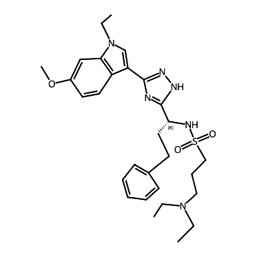 CCN(CC)CCCS(=O)(=O)N[C@H](CCc1ccccc1)c1nc(-c2cn(CC)c3cc(OC)ccc23)n[nH]1